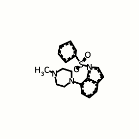 CN1CCN(c2cccc3ccn(S(=O)(=O)c4ccccc4)c23)CC1